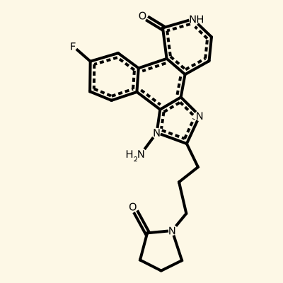 Nn1c(CCCN2CCCC2=O)nc2c3cc[nH]c(=O)c3c3cc(F)ccc3c21